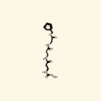 CC(C)(C)OC(=O)NCCC(=O)NCCC(=O)NCCC(=O)OCc1ccccc1